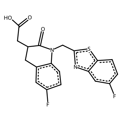 O=C(O)CC1Cc2cc(F)ccc2N(Cc2nc3cc(F)ccc3s2)C1=O